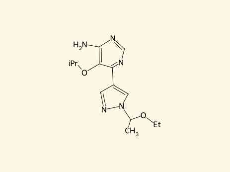 CCOC(C)n1cc(-c2ncnc(N)c2OC(C)C)cn1